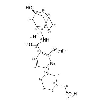 CCCSc1nc(N2CCC[C@@H](CC(=O)O)C2)ccc1C(=O)N[C@H]1C2CC3CC1C[C@@](O)(C3)C2